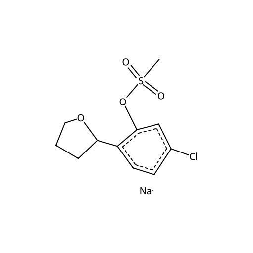 CS(=O)(=O)Oc1cc(Cl)ccc1C1CCCO1.[Na]